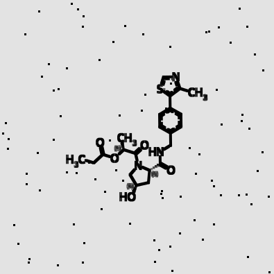 CCC(=O)O[C@@H](C)C(=O)N1C[C@H](O)C[C@H]1C(=O)NCc1ccc(-c2scnc2C)cc1